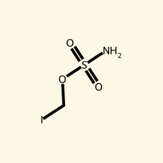 NS(=O)(=O)OCI